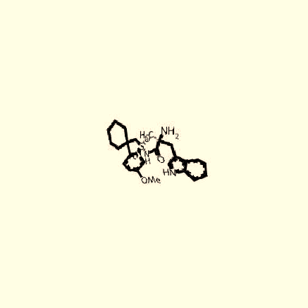 COc1ccc(C2(CS(=O)(=O)NC(=O)[C@@](C)(N)Cc3c[nH]c4ccccc34)CCCCC2)nc1